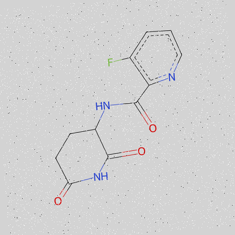 O=C1CCC(NC(=O)c2ncccc2F)C(=O)N1